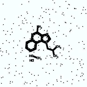 CC(C)Cn1cnc2c(N)nc3ccccc3c21.CO.Cl